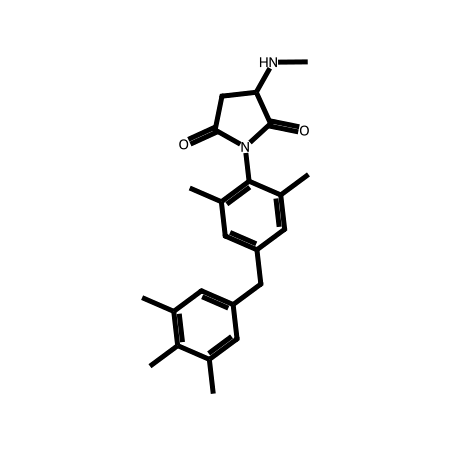 CNC1CC(=O)N(c2c(C)cc(Cc3cc(C)c(C)c(C)c3)cc2C)C1=O